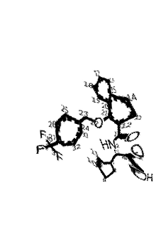 O=C(N[C@H](C(=O)O)C1CCCC1)c1ccc2ccccc2c1OCc1ccc(C(F)(F)F)cc1